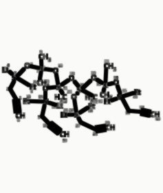 C#CC[Si](CC)(CC)O[Si](C)(C)O[Si](C)(O[Si](CC)(CC)CC#C)O[Si](C)(O[Si](CC)(CC)CC#C)O[Si](C)(C)O[Si](CC)(CC)CC#C